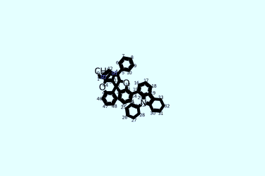 C/C=C\C=C(\c1ccccc1)C1Oc2c(-c3cccc4c5c(n(C6=CC=CCC6)c34)C=CCC5)cccc2C12C1=C(C=CC1)Oc1ccccc12